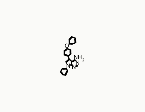 Nc1ncnc2c1c(-c1ccc(Oc3ccccc3)cc1)cn2-c1ccccc1